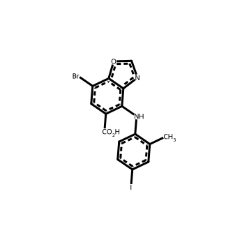 Cc1cc(I)ccc1Nc1c(C(=O)O)cc(Br)c2ocnc12